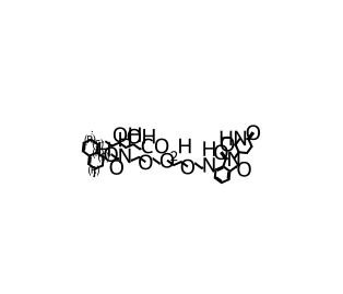 C[C@H]1C=C2C=C[C@H](C)[C@H](CCC(O)CC(O)CC(=O)O)[C@H]2[C@@H](OC(=O)NCCOCCOCCOCCNc2cccc3c2C(=O)N(C2CCC(=O)NC2=O)C3=O)C1